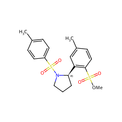 COS(=O)(=O)c1ccc(C)cc1[C@H]1CCCN1S(=O)(=O)c1ccc(C)cc1